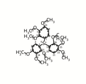 COc1ccc([S+](c2ccc(OC)c(OC)c2OC)c2ccc(OC)c(OC)c2OC)c(OC)c1OC